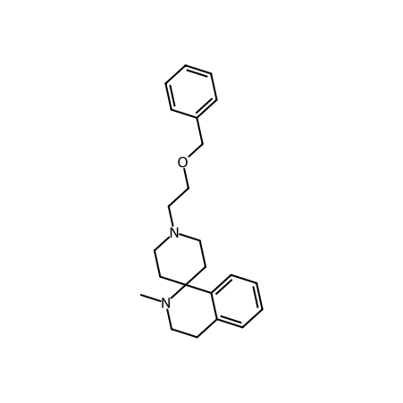 CN1CCc2ccccc2C12CCN(CCOCc1ccccc1)CC2